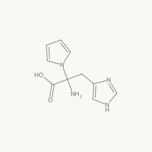 NC(Cc1c[nH]cn1)(C(=O)O)n1cccc1